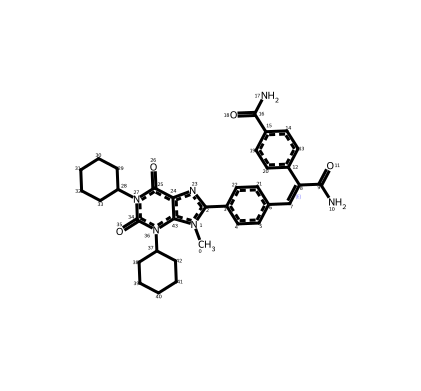 Cn1c(-c2ccc(/C=C(/C(N)=O)c3ccc(C(N)=O)cc3)cc2)nc2c(=O)n(C3CCCCC3)c(=O)n(C3CCCCC3)c21